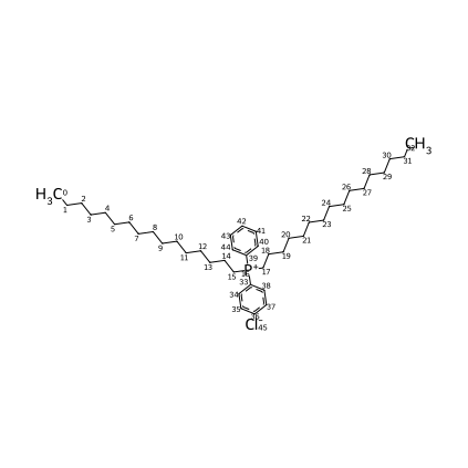 CCCCCCCCCCCCCCCC[P+](CCCCCCCCCCCCCCCC)(c1ccccc1)c1ccccc1.[Cl-]